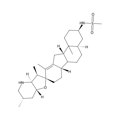 CC1=C2C[C@H]3C(CC[C@@H]4C[C@H](NS(C)(=O)=O)CCC43C)[C@@H]2CC[C@]12O[C@@H]1C[C@H](C)CN[C@H]1[C@H]2C